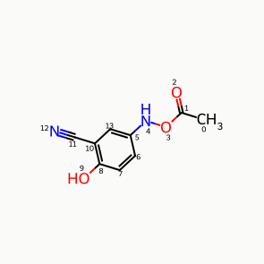 CC(=O)ONc1ccc(O)c(C#N)c1